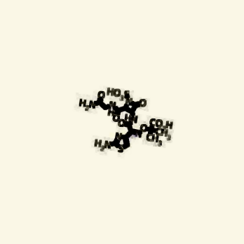 CC(C)(O/N=C(\C(=O)NC1C(=O)N(S(=O)(=O)O)C1C(=O)NCC(N)=O)c1csc(N)n1)C(=O)O